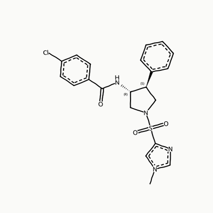 Cn1cnc(S(=O)(=O)N2C[C@H](NC(=O)c3ccc(Cl)cc3)[C@@H](c3ccccc3)C2)c1